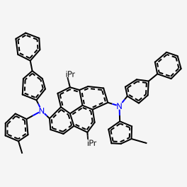 Cc1cccc(N(c2ccc(-c3ccccc3)cc2)c2ccc3c(C(C)C)cc4c(N(c5ccc(-c6ccccc6)cc5)c5cccc(C)c5)ccc5c(C(C)C)cc2c3c54)c1